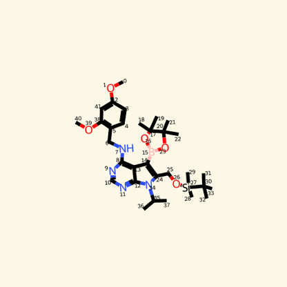 COc1ccc(CNc2ncnc3c2c(B2OC(C)(C)C(C)(C)O2)c(CO[Si](C)(C)C(C)(C)C)n3C(C)C)c(OC)c1